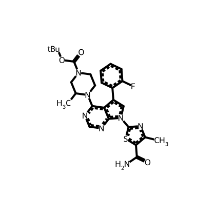 Cc1nc(-n2cc(-c3ccccc3F)c3c(N4CCN(C(=O)OC(C)(C)C)CC4C)ncnc32)sc1C(N)=O